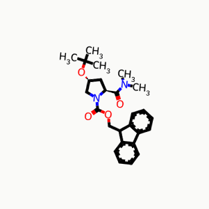 CN(C)C(=O)[C@@H]1C[C@@H](OC(C)(C)C)CN1C(=O)OCC1c2ccccc2-c2ccccc21